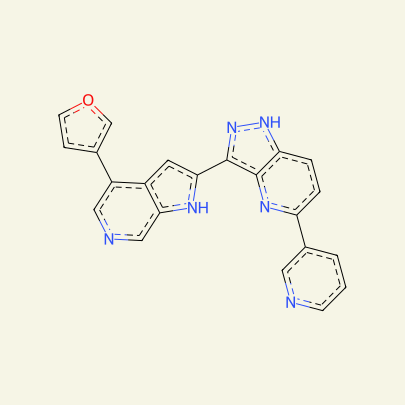 c1cncc(-c2ccc3[nH]nc(-c4cc5c(-c6ccoc6)cncc5[nH]4)c3n2)c1